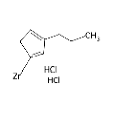 CCCC1=CC[C]([Zr])=C1.Cl.Cl